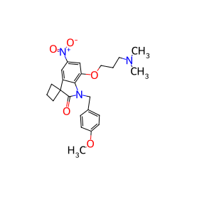 COc1ccc(CN2C(=O)C3(CCC3)c3cc([N+](=O)[O-])cc(OCCCN(C)C)c32)cc1